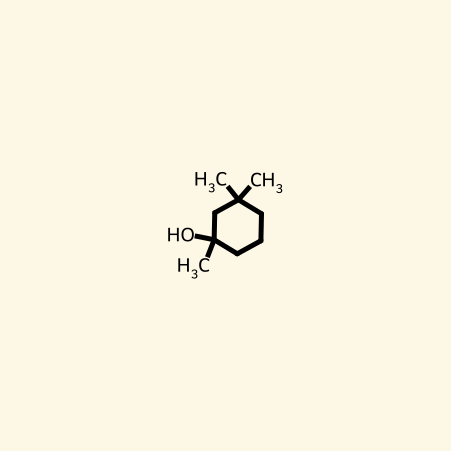 CC1(C)CCCC(C)(O)C1